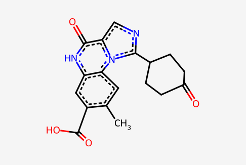 Cc1cc2c(cc1C(=O)O)[nH]c(=O)c1cnc(C3CCC(=O)CC3)n12